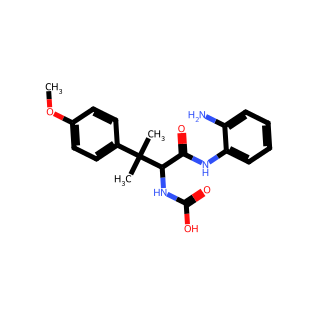 COc1ccc(C(C)(C)C(NC(=O)O)C(=O)Nc2ccccc2N)cc1